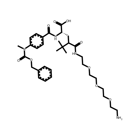 CN(C(=O)OCc1ccccc1)c1ccc(C(=O)N[C@@H](CC(C(=O)NCCOCCOCCOCCN)C(C)(C)C)C(=O)O)cc1